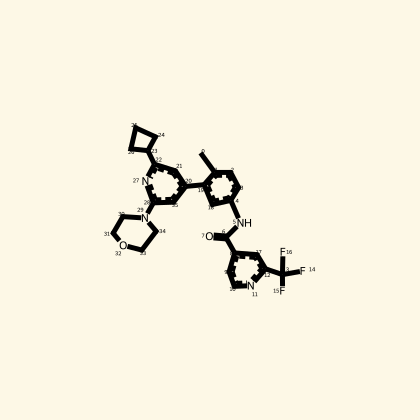 Cc1ccc(NC(=O)c2ccnc(C(F)(F)F)c2)cc1-c1cc(C2CCC2)nc(N2CCOCC2)c1